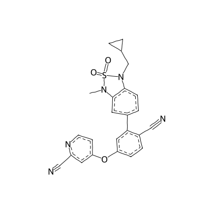 CN1c2cc(-c3cc(Oc4ccnc(C#N)c4)ccc3C#N)ccc2N(CC2CC2)S1(=O)=O